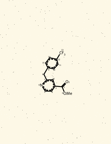 COC(=O)c1ccnc(Cc2ccc(C(F)(F)F)cc2)c1